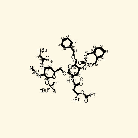 CCC(=O)O[C@H](CC)CC(=O)NC1[C@H](OCC2O[C@@H](O[Si](C)(C)C(C)(C)C)C(N=[N+]=[N-])[C@@H](OC(=O)C[C@H](C)CC)[C@@H]2C)OC(COCc2ccccc2)[C@@H](OP2(=O)OCc3ccccc3CO2)[C@@H]1C